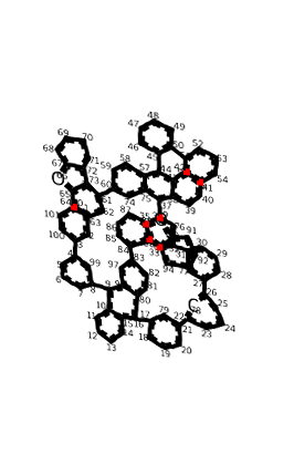 c1ccc(-c2cccc(-c3c4ccccc4c(-c4cccc(-c5cccc(-c6cccc(-c7cccc(-c8c9ccccc9c(-c9ccccc9-c9ccccc9)c9ccc(-c%10cccc%11oc%12ccccc%12c%10%11)cc89)c7)c6)c5)c4)c4ccc(-c5cccc6oc7ccccc7c56)cc34)c2)cc1